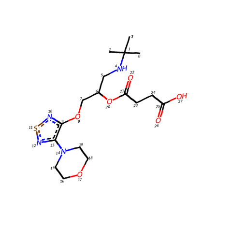 CC(C)(C)NCC(COc1nsnc1N1CCOCC1)OC(=O)CCC(=O)O